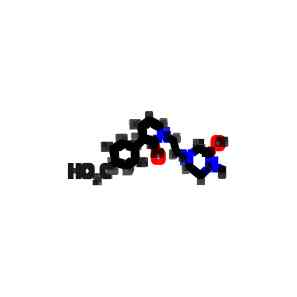 CN1CCN(CCn2cccc(-c3ccc(C(=O)O)cc3)c2=O)CC1=O